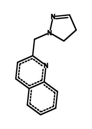 C1=NN(Cc2ccc3ccccc3n2)CC1